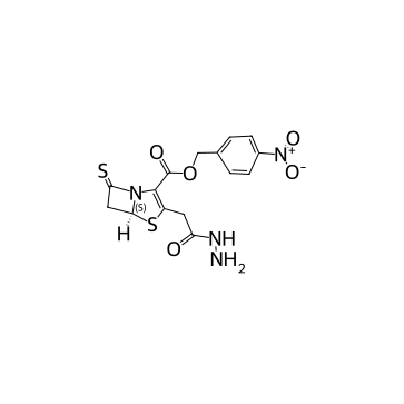 NNC(=O)CC1=C(C(=O)OCc2ccc([N+](=O)[O-])cc2)N2C(=S)C[C@@H]2S1